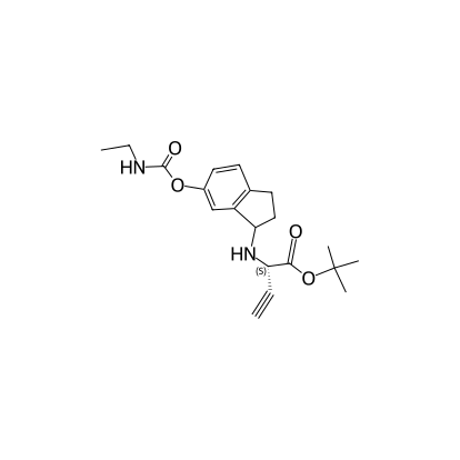 C#C[C@H](NC1CCc2ccc(OC(=O)NCC)cc21)C(=O)OC(C)(C)C